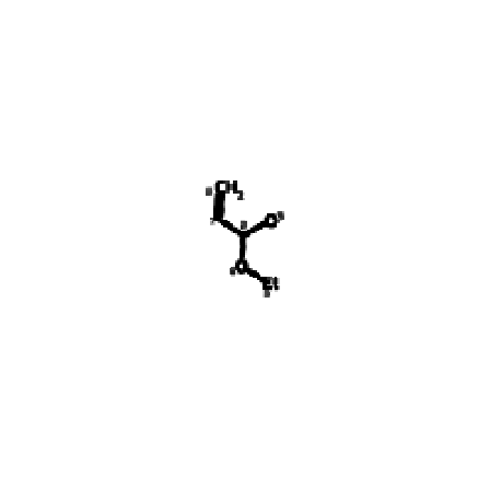 C=CC([O])OCC